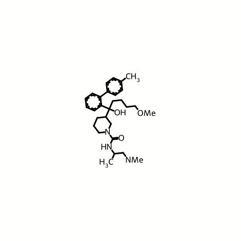 CNCC(C)NC(=O)N1CCCC(C(O)(CCCCOC)c2ccccc2-c2ccc(C)cc2)C1